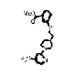 COC(=O)c1cccc(OCCC2CCN(c3cc(N)ccn3)CC2)c1